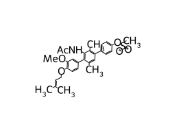 COc1cc(-c2c(C)cc(-c3ccc(OS(C)(=O)=O)cc3)c(C)c2NC(C)=O)ccc1OCC=C(C)C